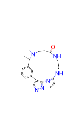 CC1c2cccc(c2)-c2cnn3ccc(nc23)NCCNC(=O)CCN1C